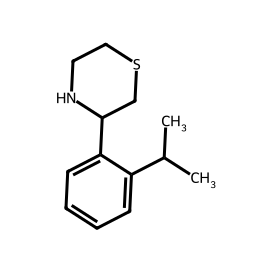 CC(C)c1ccccc1C1CSCCN1